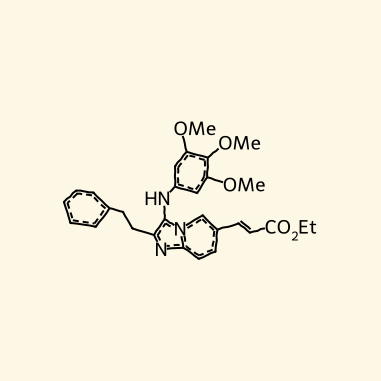 CCOC(=O)C=Cc1ccc2nc(CCc3ccccc3)c(Nc3cc(OC)c(OC)c(OC)c3)n2c1